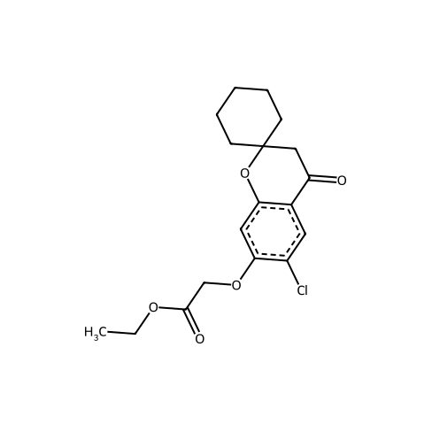 CCOC(=O)COc1cc2c(cc1Cl)C(=O)CC1(CCCCC1)O2